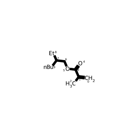 C=C(C)C(=O)OCC(CC)CCCC